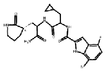 NC(=O)C(C[C@@H]1CCCNC1=O)NC(=O)C(CC1CC1)NC(=O)c1cc2c(F)ccc(Br)c2[nH]1